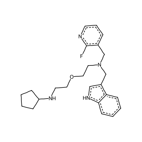 Fc1ncccc1CN(CCOCCNC1CCCC1)Cc1c[nH]c2ccccc12